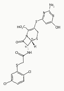 Nc1nc(O)cc(SC2=C(C(=O)O)N3C(=O)[C@@H](NC(=O)CSc4cc(Cl)ccc4Cl)[C@H]3SC2)n1